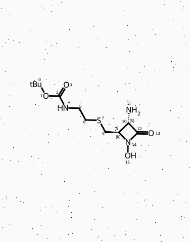 CC(C)(C)OC(=O)NCCSC[C@H]1[C@H](N)C(=O)N1O